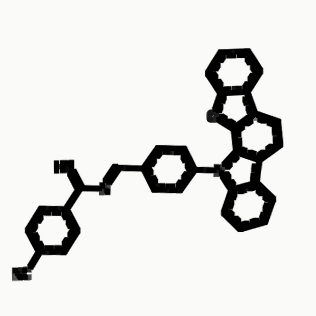 N#Cc1ccc(C(=N)/N=C/c2ccc(-n3c4ccccc4c4ccc5c6ccccc6oc5c43)cc2)cc1